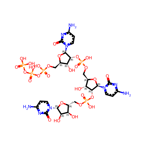 Nc1ccn([C@@H]2O[C@H](COP(=O)(O)O[C@@H]3[C@H](O)[C@@H](COP(=O)(O)O[C@@H]4[C@H](O)[C@@H](COP(=O)(O)OP(=O)(O)OP(=O)(O)O)O[C@H]4n4ccc(N)nc4=O)O[C@H]3n3ccc(N)nc3=O)[C@@H](O)[C@H]2O)c(=O)n1